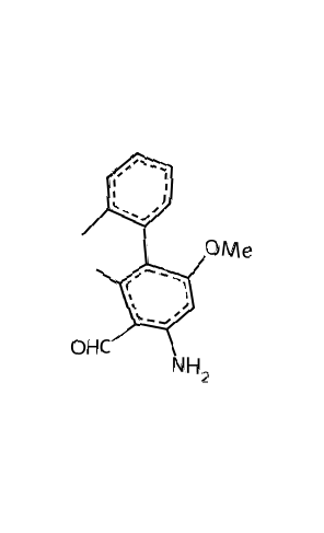 COc1cc(N)c(C=O)c(C)c1-c1ccccc1C